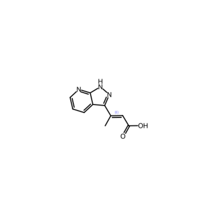 C/C(=C\C(=O)O)c1n[nH]c2ncccc12